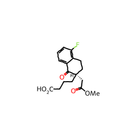 COC(=O)C[C@@]1(CCCC(=O)O)CCc2c(F)cccc2C1=O